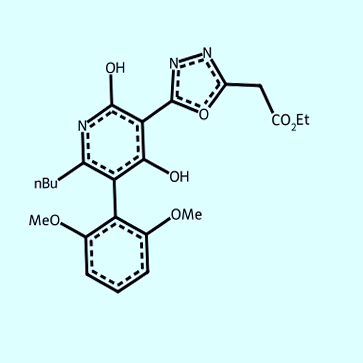 CCCCc1nc(O)c(-c2nnc(CC(=O)OCC)o2)c(O)c1-c1c(OC)cccc1OC